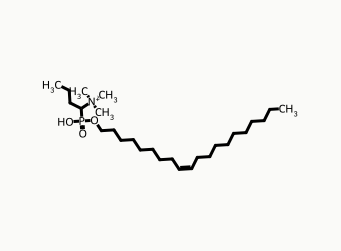 CCCCCCCCCC/C=C\CCCCCCCCOP(=O)(O)C(CCC)[N+](C)(C)C